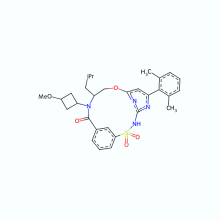 COC1CC(N2C(=O)c3cccc(c3)S(=O)(=O)Nc3nc(cc(-c4c(C)cccc4C)n3)OCC2CC(C)C)C1